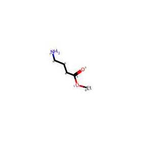 CCOC(=O)CC[CH]N